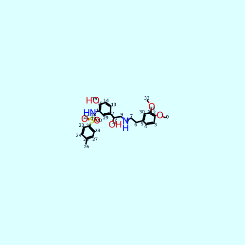 COc1ccc(CCNCC(O)c2ccc(O)c(NS(=O)(=O)c3ccc(C)cc3)c2)cc1OC